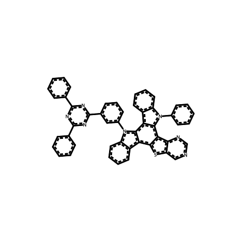 c1ccc(-c2nc(-c3ccccc3)nc(-c3cccc(-n4c5ccccc5c5c6sc7cncnc7c6c6c(c7ccccc7n6-c6ccccc6)c54)c3)n2)cc1